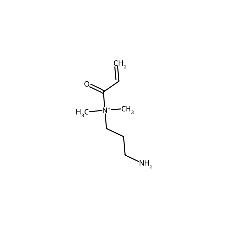 C=CC(=O)[N+](C)(C)CCCN